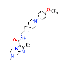 CCc1nc2n(c1C(=O)NCC1CC3(CCN(c4ccc(OC(F)(F)F)cc4)CC3)C1)CCN(C)C2